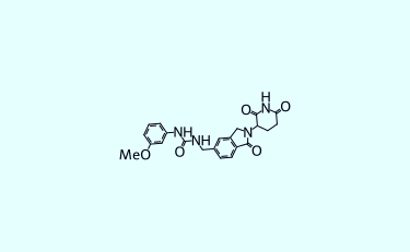 COc1cccc(NC(=O)NCc2ccc3c(c2)CN(C2CCC(=O)NC2=O)C3=O)c1